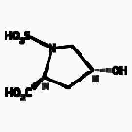 O=C(O)[C@@H]1C[C@@H](O)CN1S(=O)(=O)O